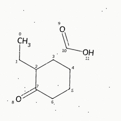 CCC1CCCCC1=O.O=CO